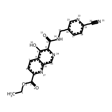 CCOC(=O)c1ccc2c(O)c(C(=O)NCc3ccc(C#N)nc3)ncc2n1